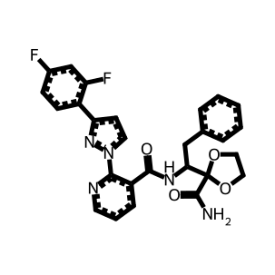 NC(=O)C1(C(Cc2ccccc2)NC(=O)c2cccnc2-n2ccc(-c3ccc(F)cc3F)n2)OCCO1